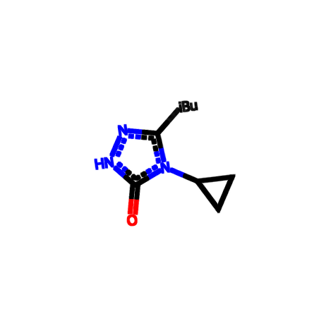 CCC(C)c1n[nH]c(=O)n1C1CC1